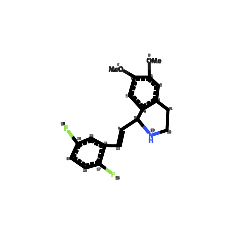 COc1cc2c(cc1OC)C(C=Cc1cc(F)ccc1F)NCC2